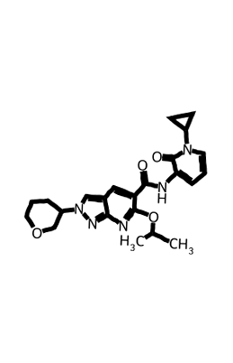 CC(C)Oc1nc2nn(C3CCCOC3)cc2cc1C(=O)Nc1cccn(C2CC2)c1=O